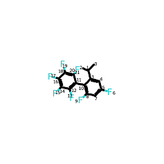 CC(C)c1cc(F)cc(F)c1-c1c(F)c(F)c(F)c(F)c1F